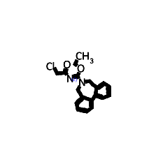 CCO/C(=N\C(=O)CCl)N1Cc2ccccc2-c2ccccc2C1